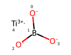 [O-]B([O-])[O-].[Ti+3]